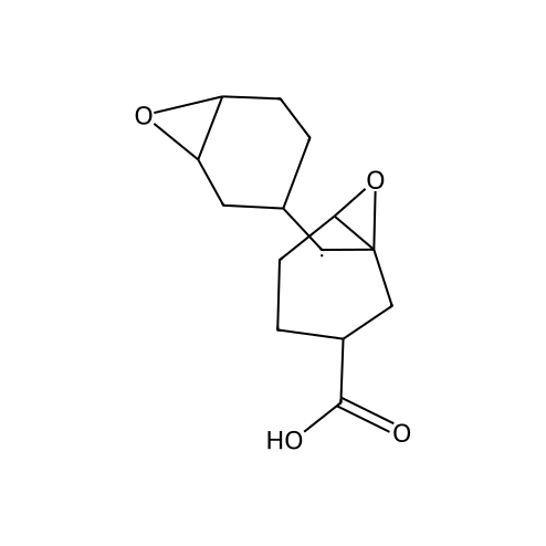 O=C(O)C1CCC2OC2([CH]C2CCC3OC3C2)C1